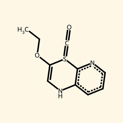 CCOC1=CNc2cccnc2S1=C=O